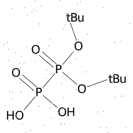 CC(C)(C)OP(=O)(OC(C)(C)C)P(=O)(O)O